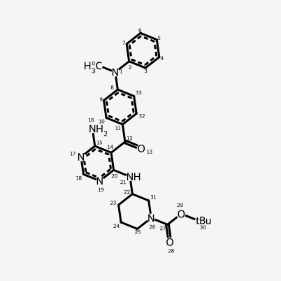 CN(c1ccccc1)c1ccc(C(=O)c2c(N)ncnc2NC2CCCN(C(=O)OC(C)(C)C)C2)cc1